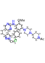 COc1cc(N2CCN(C3CCN(C(C)=O)CC3)CC2)ccc1Nc1ncc2c(n1)-c1c(nn(C)c1-c1ccccc1Cl)CC2